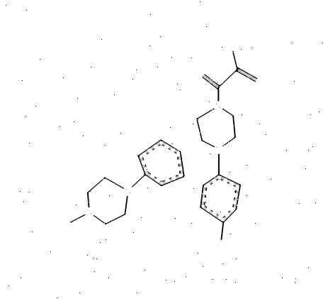 C=C(C)C(=O)N1CCN(c2ccc(Cl)cc2)[C@H](c2ccc(N3CCN(C)CC3)cc2)C1